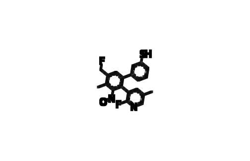 Cc1cnc(F)c(-c2c(-c3cccc(S)c3)cc(CF)c(C)c2N=O)c1